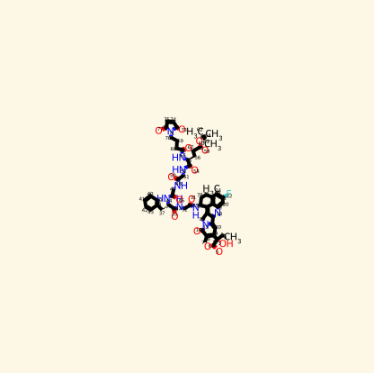 CC[C@@]1(O)C(=O)OCc2c1cc1n(c2=O)Cc2c-1nc1cc(F)c(C)c3c1c2[C@@H](NC(=O)CNC(=O)[C@H](Cc1ccccc1)NC(=O)CNC(=O)CNC(=O)[C@H](CCC(=O)OC(C)(C)C)NC(=O)CCCN1C(=O)C=CC1=O)CC3